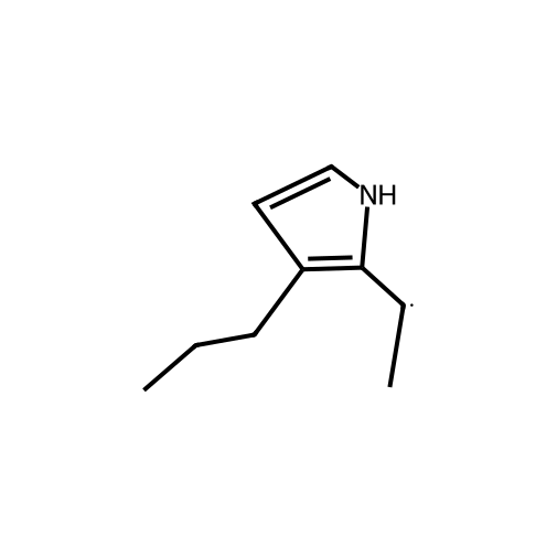 C[CH]c1[nH]ccc1CCC